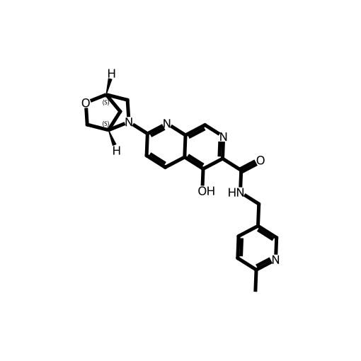 Cc1ccc(CNC(=O)c2ncc3nc(N4C[C@@H]5C[C@H]4CO5)ccc3c2O)cn1